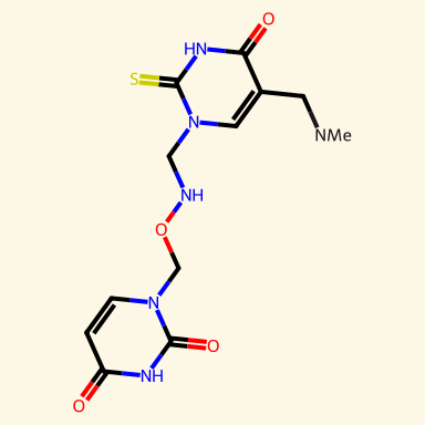 CNCc1cn(CNOCn2ccc(=O)[nH]c2=O)c(=S)[nH]c1=O